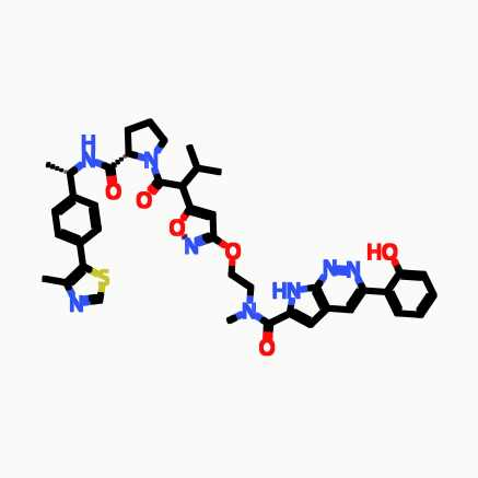 Cc1ncsc1-c1ccc([C@H](C)NC(=O)[C@@H]2CCCN2C(=O)C(c2cc(OCCN(C)C(=O)c3cc4cc(-c5ccccc5O)nnc4[nH]3)no2)C(C)C)cc1